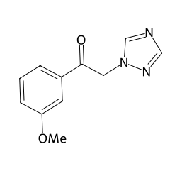 COc1cccc(C(=O)Cn2cncn2)c1